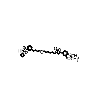 CC1(C)OCc2cc([C@@H]3CN(CCCCCCOCCCCc4cccc(S(=O)(=O)NC5CCC5)c4)C(=O)O3)ccc2O1